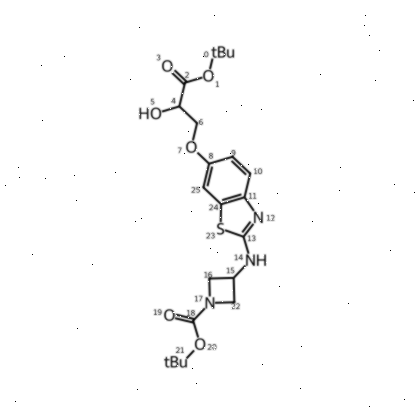 CC(C)(C)OC(=O)C(O)COc1ccc2nc(NC3CN(C(=O)OC(C)(C)C)C3)sc2c1